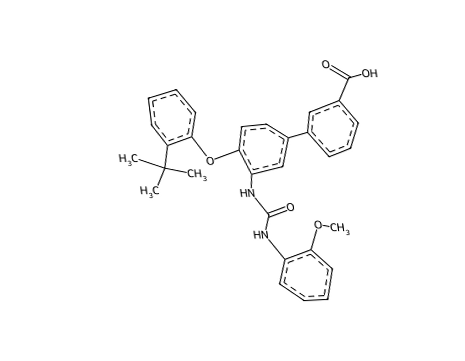 COc1ccccc1NC(=O)Nc1cc(-c2cccc(C(=O)O)c2)ccc1Oc1ccccc1C(C)(C)C